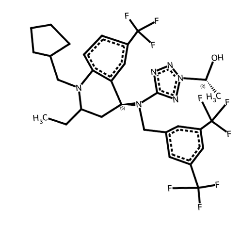 CCC1C[C@H](N(Cc2cc(C(F)(F)F)cc(C(F)(F)F)c2)c2nnn([C@@H](C)O)n2)c2cc(C(F)(F)F)ccc2N1CC1CCCC1